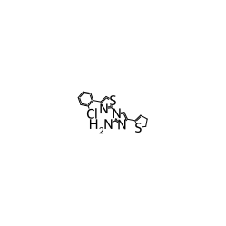 Nc1nc(C2=CCCS2)cn1-c1nc(-c2ccccc2Cl)cs1